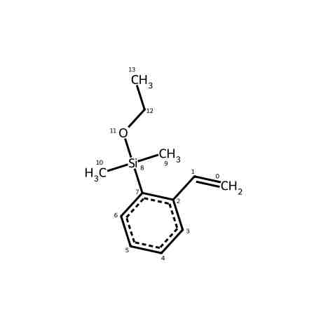 C=Cc1ccccc1[Si](C)(C)OCC